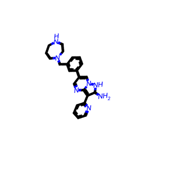 NC1NN2C=C(c3cccc(CN4CCCNCC4)c3)C=NC2=C1c1ccccn1